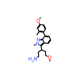 COCCC(CCN)c1c2cccc(-c3ccc(OC)cc3C)c2nn1C